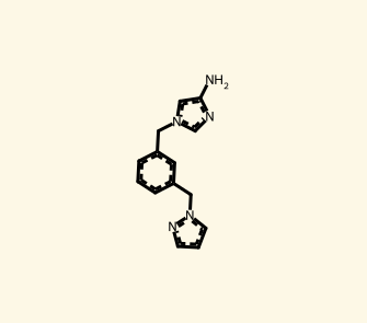 Nc1cn(Cc2cccc(Cn3cccn3)c2)cn1